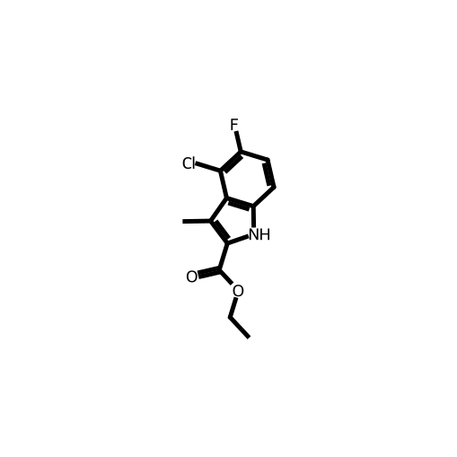 CCOC(=O)c1[nH]c2ccc(F)c(Cl)c2c1C